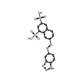 O=S(=O)(O)c1cc(S(=O)(=O)O)c2cc(N=Nc3ccc4[nH]nnc4c3)ccc2c1